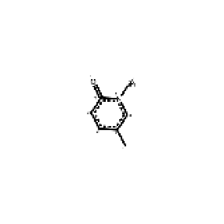 Cc1ccc(=O)n(C(C)C)c1